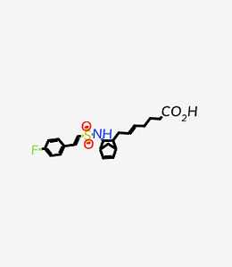 O=C(O)CCCC=CCC1C2C=CC(C2)C1NS(=O)(=O)C=Cc1ccc(F)cc1